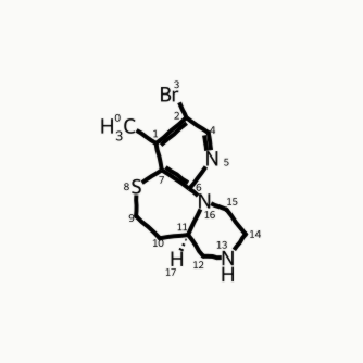 Cc1c(Br)cnc2c1SCC[C@@H]1CNCCN21